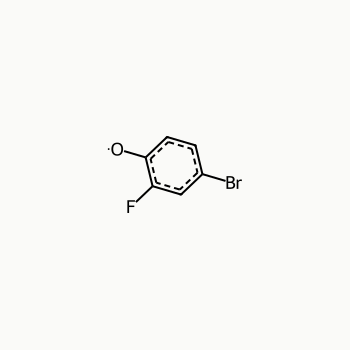 [O]c1ccc(Br)cc1F